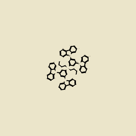 CCCC[Si](CCCC)(c1cc(-n2c3ccccc3c3ccccc32)cc(-n2c3ccccc3c3ccccc32)c1)c1cc(-n2c3ccccc3c3ccccc32)cc(-n2c3ccccc3c3ccccc32)c1